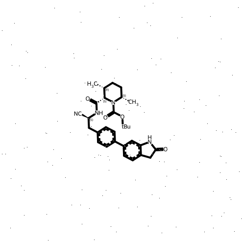 C[C@@H]1CC[C@H](C)N(C(=O)OC(C)(C)C)[C@@H]1C(=O)N[C@H](C#N)Cc1ccc(-c2ccc3c(c2)NC(=O)C3)cc1